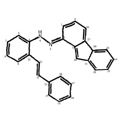 C1=CC(=NNc2ccccc2C=Cc2ccccc2)C2=Cc3ccccc3C2=C1